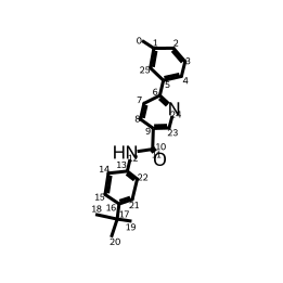 Cc1cccc(-c2ccc(C(=O)Nc3ccc(C(C)(C)C)cc3)cn2)c1